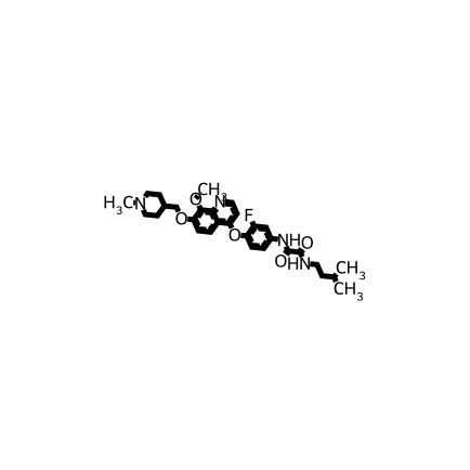 COc1c(OCC2CCN(C)CC2)ccc2c(Oc3ccc(NC(=O)C(=O)NCCC(C)C)cc3F)ccnc12